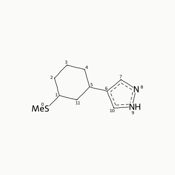 CSC1CCCC(c2cn[nH]c2)C1